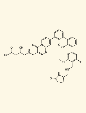 COc1nc(-c2cccc(-c3cccc(-c4ccn5c(=O)c(CNCC(O)CC(=O)O)cnc5c4)c3Cl)c2Cl)cc(F)c1CNCC1CCC(=O)N1